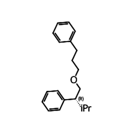 CC(C)[C@@H](COCCCc1ccccc1)c1ccccc1